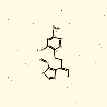 C=Nc1[nH]ncc1/C(=C\C)COc1ccc(OC)cc1C=O